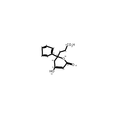 O=C(O)CCC1(c2ccccc2)CC(O)=CC(=O)O1